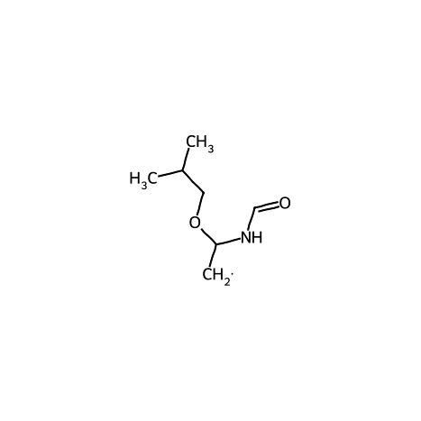 [CH2]C(NC=O)OCC(C)C